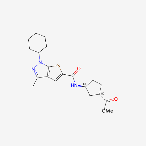 COC(=O)[C@H]1CC[C@H](NC(=O)c2cc3c(C)nn(C4CCCCC4)c3s2)C1